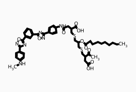 CCCCCCCCCC(=O)OC(CSCC(CC(=O)O)C(C)=O)CSCC(CC(=O)Nc1ccc(-c2noc(-c3cccc(-c4nc(-c5ccc(NC)cc5)no4)c3)n2)cc1)C(=O)O